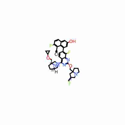 C#Cc1c(F)ccc2cc(O)cc(-c3ccc4c(N5C[C@@H]6CC[C@](COC7CC7)(C5)N6)nc(OCC56CCCN5C/C(=C\F)C6)nc4c3F)c12